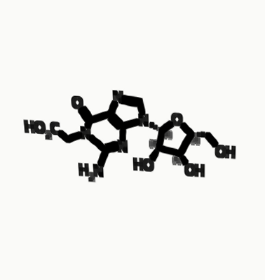 Nc1nc2c(ncn2[C@@H]2O[C@H](CO)[C@@H](O)[C@H]2O)c(=O)n1CC(=O)O